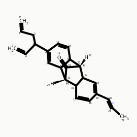 C=CCC(C=C)C1=CC2C(C=C1)[C@H]1C(=O)[C@@H]2C2C=CC(/C=C/C)=CC21